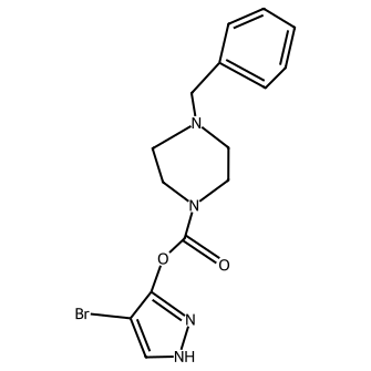 O=C(Oc1n[nH]cc1Br)N1CCN(Cc2ccccc2)CC1